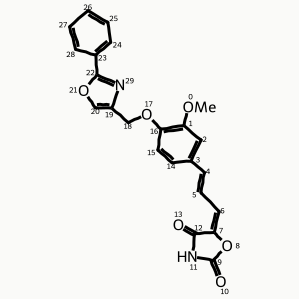 COc1cc(C=CC=C2OC(=O)NC2=O)ccc1OCc1coc(-c2ccccc2)n1